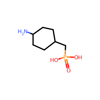 NC1CCC(CP(=O)(O)O)CC1